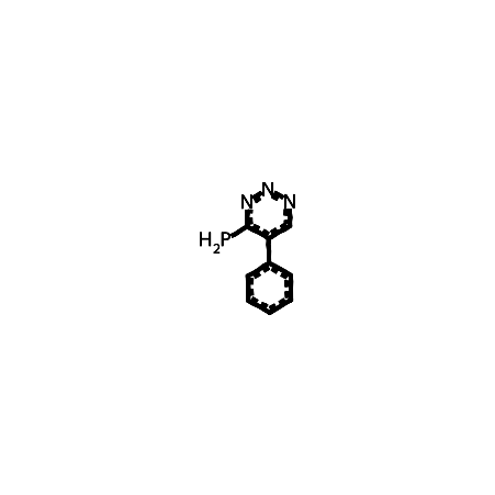 Pc1nnncc1-c1ccccc1